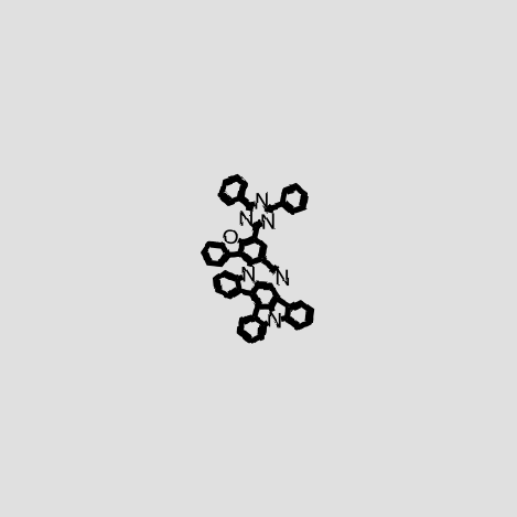 N#Cc1cc(-c2nc(-c3ccccc3)nc(-c3ccccc3)n2)c2oc3ccccc3c2c1-n1c2ccccc2c2c3c4ccccc4n4c5ccccc5c(cc21)c34